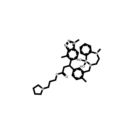 Cc1ccc(C(CC(=O)OCCCN2CCCC2)c2ccc3c(nnn3C)c2C)cc1CN1CCN(C)c2ccccc2S1(O)O